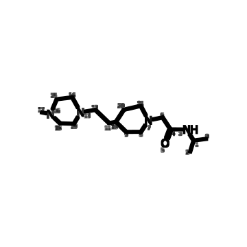 CC(C)NC(=O)CN1CCC(CCN2CCN(C)CC2)CC1